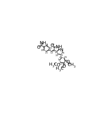 COc1cc(-c2cnc3c(c2)/C(=C/c2ccc(C(N)=O)cc2)C(=O)N3)cc(OC)c1OC